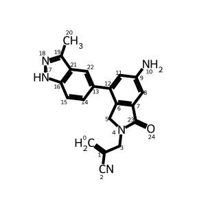 C=C(C#N)CN1Cc2c(cc(N)cc2-c2ccc3[nH]nc(C)c3c2)C1=O